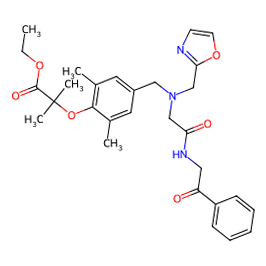 CCOC(=O)C(C)(C)Oc1c(C)cc(CN(CC(=O)NCC(=O)c2ccccc2)Cc2ncco2)cc1C